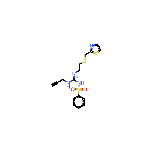 C#CCN/C(=N/CCSCc1nccs1)NS(=O)(=O)c1ccccc1